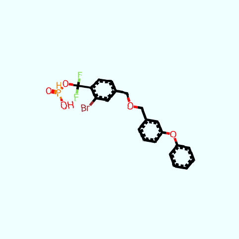 O=[PH](O)OC(F)(F)c1ccc(COCc2cccc(Oc3ccccc3)c2)cc1Br